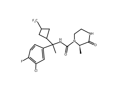 C[C@@H]1C(=O)NCCN1C(=O)NC(C)(c1ccc(F)c(Cl)c1)C1CC(C(F)(F)F)C1